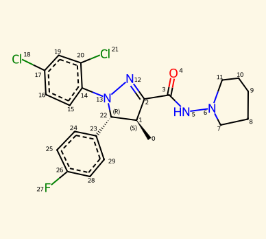 C[C@@H]1C(C(=O)NN2CCCCC2)=NN(c2ccc(Cl)cc2Cl)[C@H]1c1ccc(F)cc1